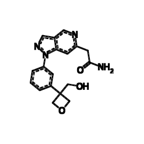 NC(=O)Cc1cc2c(cn1)cnn2-c1cccc(C2(CO)COC2)c1